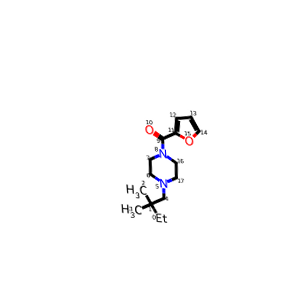 [CH2]CC(C)(C)CN1CCN(C(=O)c2ccco2)CC1